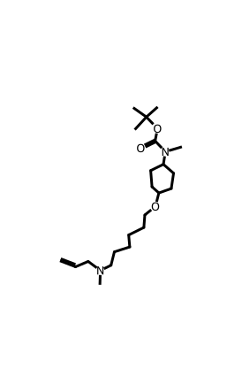 C=CCN(C)CCCCCCOC1CCC(N(C)C(=O)OC(C)(C)C)CC1